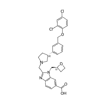 O=C(O)c1ccc2nc(CN3CC[C@H](c4cccc(COc5ccc(Cl)cc5Cl)c4)C3)n(C[C@@H]3CCO3)c2c1